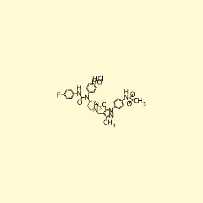 Cc1nn(-c2ccc(NS(C)(=O)=O)cc2)c(C)c1CN1CCC(N(C(=O)Nc2ccc(F)cc2)c2ccccc2)CC1.Cl.Cl